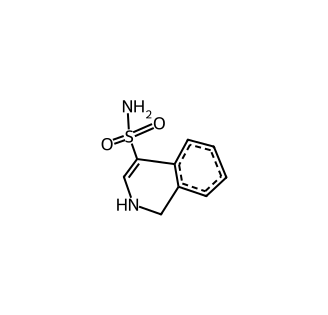 NS(=O)(=O)C1=CNCc2ccccc21